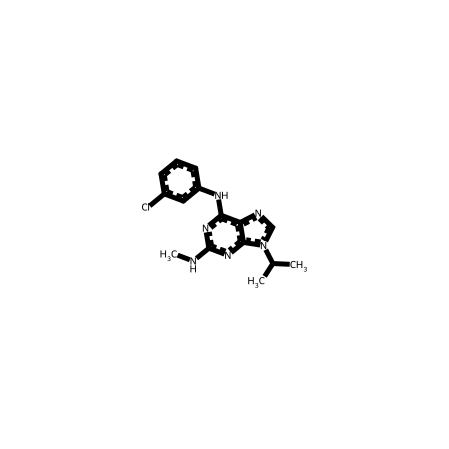 CNc1nc(Nc2cccc(Cl)c2)c2ncn(C(C)C)c2n1